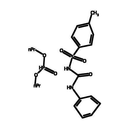 CCCO[PH](=O)OCCC.Cc1ccc(S(=O)(=O)NC(=O)Nc2ccccc2)cc1